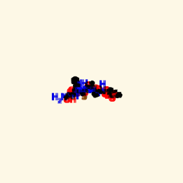 CO[C@@H]1[C@H](OC(=O)NCC(=O)N2CCCC2C(=O)N[C@@H](CC(C)C)C(=O)NCC(=O)N[C@@H](CCSC)C(=O)N[C@@H](Cc2c[nH]c3ccccc23)C(=O)N[C@@H](C)C(=O)NC[C@H](N)O)CC[C@]2(CO2)[C@H]1[C@@]1(C)O[C@@H]1CC=C(C)C